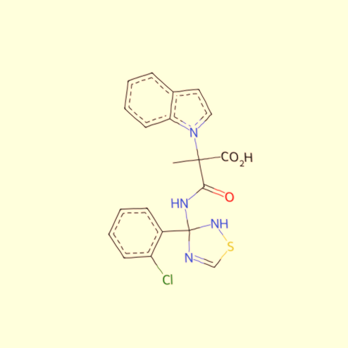 CC(C(=O)O)(C(=O)NC1(c2ccccc2Cl)N=CSN1)n1ccc2ccccc21